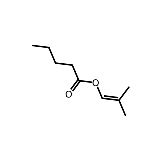 CCCCC(=O)OC=C(C)C